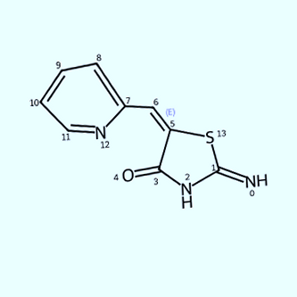 N=C1NC(=O)/C(=C\c2ccccn2)S1